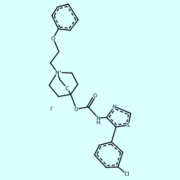 O=C(Nc1ncsc1-c1cccc(Cl)c1)OC12CC[N+](CCOc3ccccc3)(CC1)CC2.[I-]